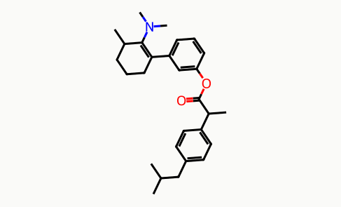 CC(C)Cc1ccc(C(C)C(=O)Oc2cccc(C3=C(N(C)C)C(C)CCC3)c2)cc1